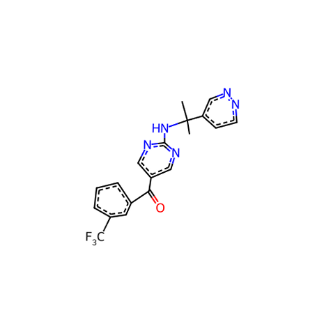 CC(C)(Nc1ncc(C(=O)c2cccc(C(F)(F)F)c2)cn1)c1ccnnc1